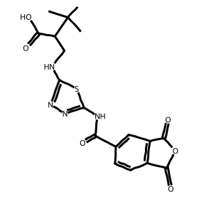 CC(C)(C)C(CNc1nnc(NC(=O)c2ccc3c(c2)C(=O)OC3=O)s1)C(=O)O